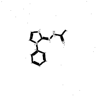 CC(=O)NN=c1occn1-c1ccccc1